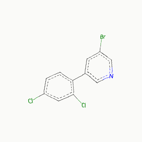 Clc1ccc(-c2cncc(Br)c2)c(Cl)c1